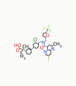 Cc1cc(C(=O)N(Cc2ccc(C(F)(F)F)o2)Cc2ccc(-c3cccc(C(C)(C)C(=O)O)c3)cc2Cl)c2ncc(F)cc2n1